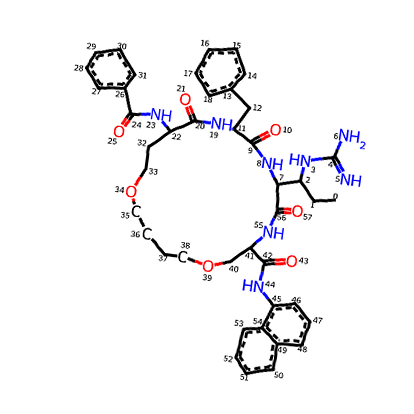 CCC(NC(=N)N)C1NC(=O)C(Cc2ccccc2)NC(=O)C(NC(=O)c2ccccc2)CCOCCCCOCC(C(=O)Nc2cccc3ccccc23)NC1=O